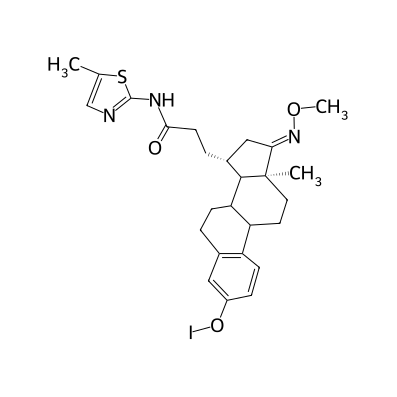 CO/N=C1\C[C@@H](CCC(=O)Nc2ncc(C)s2)C2C3CCc4cc(OI)ccc4C3CC[C@]12C